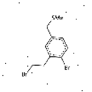 CSCc1ccc(Br)c(CCBr)c1